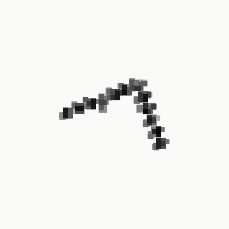 [H-].[H-].[H-].[H-].[H-].[H-].[Li+].[Li+].[Li+].[Li+].[Li+].[Li+]